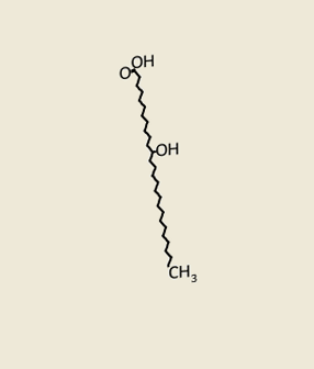 CCCCCCCCCCCCCCCCC(O)CCCCCCCCCCC(=O)O